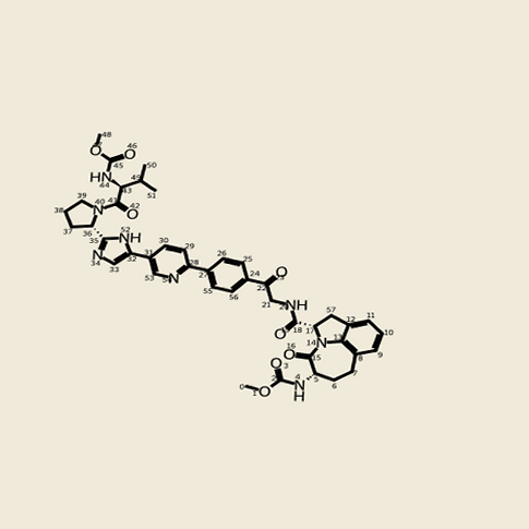 COC(=O)N[C@H]1CCc2cccc3c2N(C1=O)[C@H](C(=O)NCC(=O)c1ccc(-c2ccc(-c4cnc([C@@H]5CCCN5C(=O)[C@@H](NC(=O)OC)C(C)C)[nH]4)cn2)cc1)C3